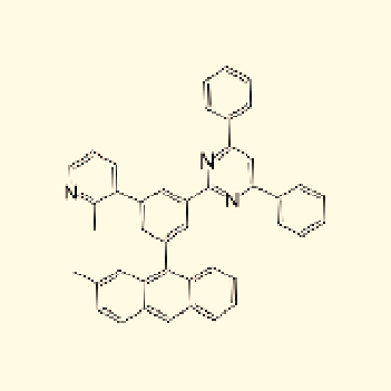 Cc1ccc2cc3ccccc3c(-c3cc(-c4nc(-c5ccccc5)cc(-c5ccccc5)n4)cc(-c4cccnc4C)c3)c2c1